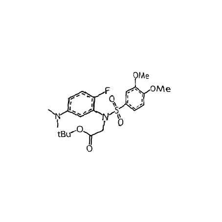 COc1ccc(S(=O)(=O)N(CC(=O)OC(C)(C)C)c2cc(N(C)C)ccc2F)cc1OC